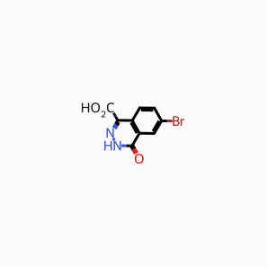 O=C(O)c1n[nH]c(=O)c2cc(Br)ccc12